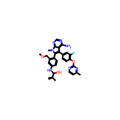 C=C(C)C(O)Nc1ccc(-c2c(-c3ccc(Oc4nccc(C)n4)c(F)c3)c3c(N)ncnc3n2C)c(COC)c1